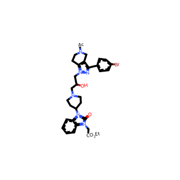 CCOC(=O)Cn1c(=O)n(C2CCN(CC(O)Cn3nc(-c4ccc(Br)cc4)c4c3CCN(C(C)=O)C4)CC2)c2ccccc21